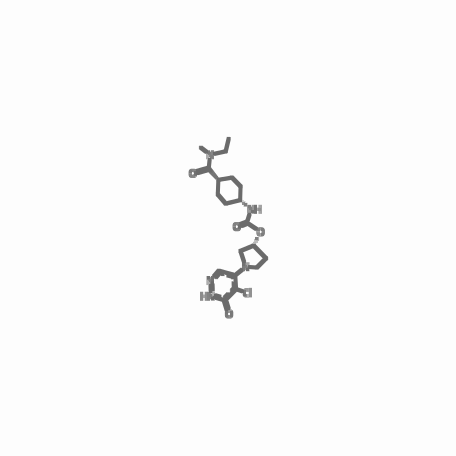 CCN(C)C(=O)[C@H]1CC[C@H](NC(=O)O[C@@H]2CCN(c3cn[nH]c(=O)c3Cl)C2)CC1